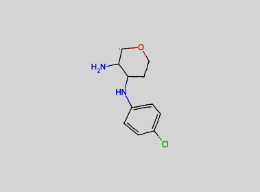 NC1[CH]OCCC1Nc1ccc(Cl)cc1